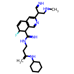 C=C(CCNC(=N)C1c2cnc(C(C=N)CNC)cc2C=CC1F)NC1CCCCC1